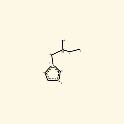 CC[C@H](C)Cn1ccnc1